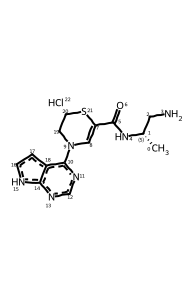 C[C@@H](CN)NC(=O)C1=CN(c2ncnc3[nH]ccc23)CCS1.Cl